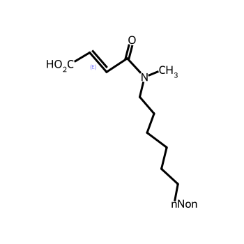 CCCCCCCCCCCCCCCN(C)C(=O)/C=C/C(=O)O